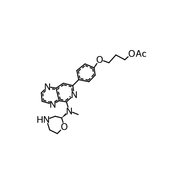 CC(=O)OCCCOc1ccc(-c2cc3nccnc3c(N(C)[C@@H]3CNCCO3)n2)cc1